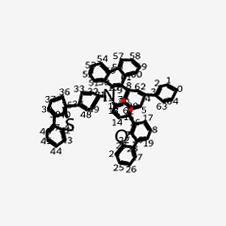 c1ccc(-c2cccc(-c3c(N(c4ccc(-c5cccc6c5oc5ccccc56)cc4)c4ccc(-c5cccc6c5sc5ccccc56)cc4)c4ccccc4c4ccccc34)c2)cc1